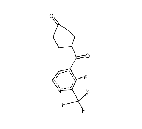 O=C1CCC(C(=O)c2ccnc(C(F)(F)F)c2F)CC1